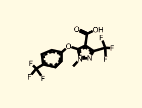 Cn1nc(C(F)(F)F)c(C(=O)O)c1Oc1ccc(C(F)(F)F)cc1